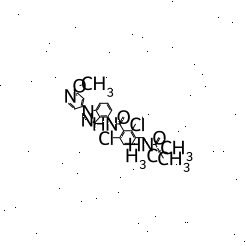 COc1cc(-n2ncc3c(NC(=O)c4c(Cl)ccc(CNC(=O)C(C)(C)C)c4Cl)cccc32)ccn1